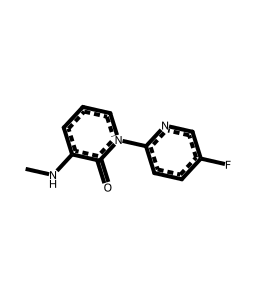 CNc1cccn(-c2ccc(F)cn2)c1=O